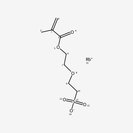 C=C(C)C(=O)OCCOCCS(=O)(=O)[O-].[Rb+]